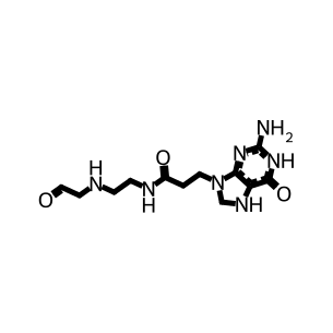 Nc1nc2c(c(=O)[nH]1)NCN2CCC(=O)NCCNCC=O